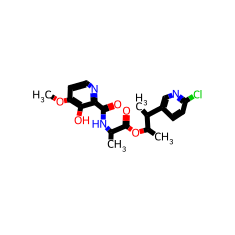 COc1ccnc(C(=O)NC(C)C(=O)OC(C)C(C)c2ccc(Cl)nc2)c1O